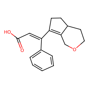 O=C(O)C=C(C1=C2COCCC2CC1)c1ccccc1